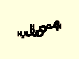 Cc1nocc1COc1ccc2c(c1)CCN(CC(O)CN)C2